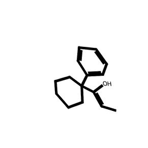 CC=C(O)C1(c2ccccc2)CCCCC1